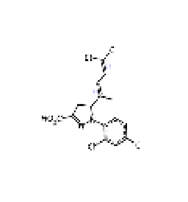 CC/C(Cl)=C\C=C(/C)C1CC(C(=O)O)=NN1c1ccc(Cl)cc1Cl